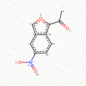 CC(=O)c1occ2cc([N+](=O)[O-])ccc12